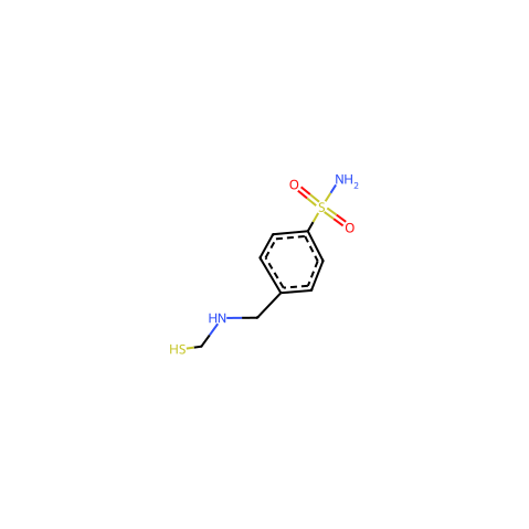 NS(=O)(=O)c1ccc(CNCS)cc1